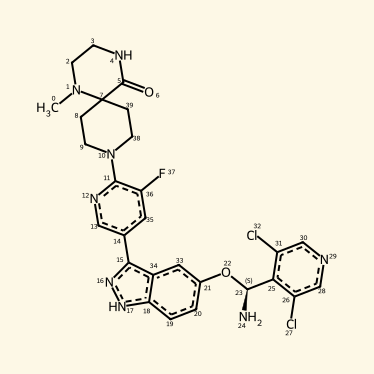 CN1CCNC(=O)C12CCN(c1ncc(-c3n[nH]c4ccc(O[C@H](N)c5c(Cl)cncc5Cl)cc34)cc1F)CC2